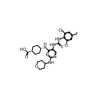 O=C(O)[C@H]1CC[C@H](Nc2nc(NC3CCOCC3)ncc2NC(=S)Nc2c(Cl)cc(F)cc2Cl)CC1